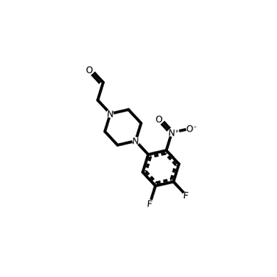 O=CCN1CCN(c2cc(F)c(F)cc2[N+](=O)[O-])CC1